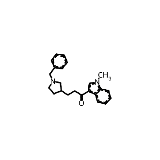 Cn1cc(C(=O)CCC2CCN(Cc3ccccc3)C2)c2ccccc21